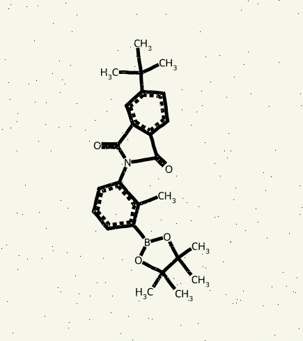 Cc1c(B2OC(C)(C)C(C)(C)O2)cccc1N1C(=O)c2ccc(C(C)(C)C)cc2C1=O